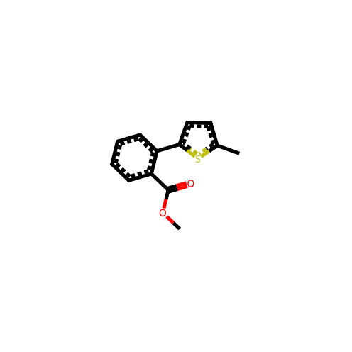 COC(=O)c1ccccc1-c1ccc(C)s1